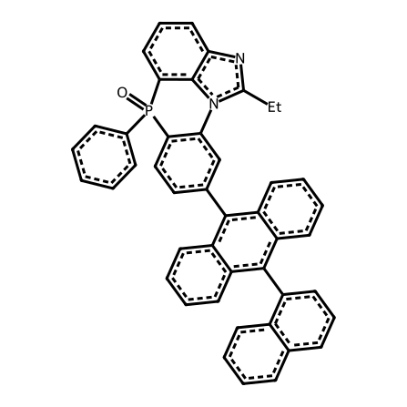 CCc1nc2cccc3c2n1-c1cc(-c2c4ccccc4c(-c4cccc5ccccc45)c4ccccc24)ccc1P3(=O)c1ccccc1